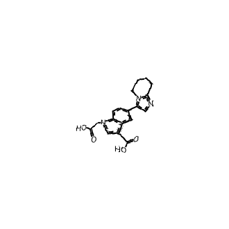 O=C(O)Cn1cc(C(=O)O)c2cc(-c3cnc4n3CCCC4)ccc21